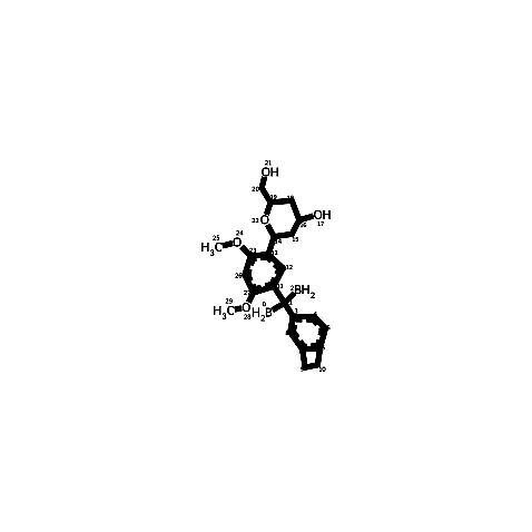 BC(B)(c1ccc2c(c1)CC2)c1cc(C2CC(O)CC(CO)O2)c(OC)cc1OC